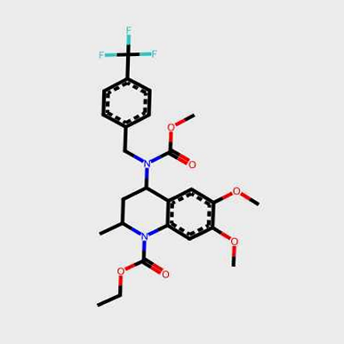 CCOC(=O)N1c2cc(OC)c(OC)cc2C(N(Cc2ccc(C(F)(F)F)cc2)C(=O)OC)CC1C